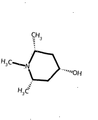 C[C@@H]1C[C@H](O)C[C@H](C)N1C